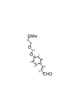 COCCOCOc1ccc(/C=C/C=O)cc1